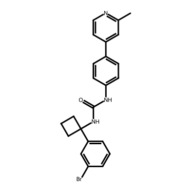 Cc1cc(-c2ccc(NC(=O)NC3(c4cccc(Br)c4)CCC3)cc2)ccn1